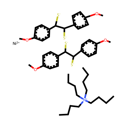 CCCC[N+](CCCC)(CCCC)CCCC.COc1ccc(C([S-])C([S-])c2ccc(OC)cc2)cc1.COc1ccc(C([S-])C([S-])c2ccc(OC)cc2)cc1.[Ni+2]